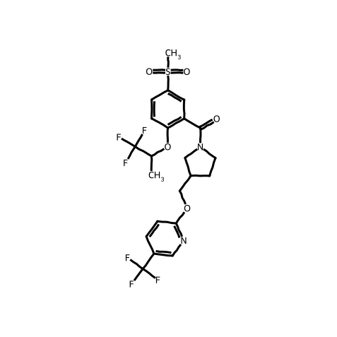 CC(Oc1ccc(S(C)(=O)=O)cc1C(=O)N1CCC(COc2ccc(C(F)(F)F)cn2)C1)C(F)(F)F